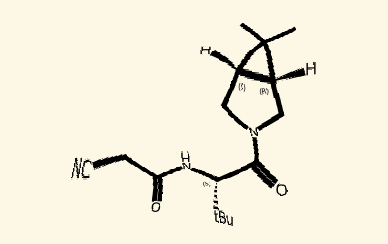 CC(C)(C)[C@H](NC(=O)CC#N)C(=O)N1C[C@@H]2[C@H](C1)C2(C)C